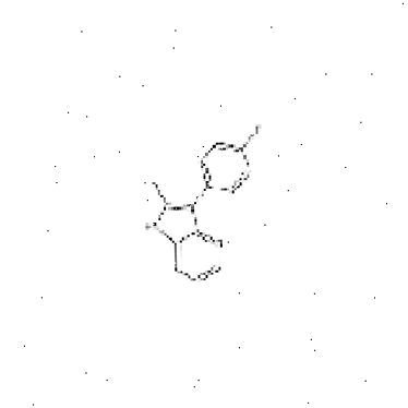 Cc1[nH]c2cccnc2c1-c1ccc(F)cc1